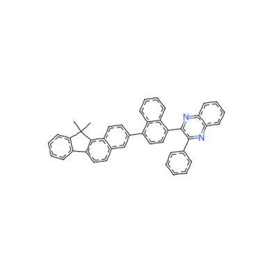 CC1(C)c2ccccc2-c2ccc3cc(-c4ccc(-c5nc6ccccc6nc5-c5ccccc5)c5ccccc45)ccc3c21